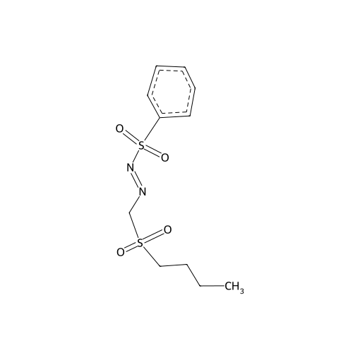 CCCCS(=O)(=O)CN=NS(=O)(=O)c1ccccc1